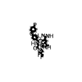 CC(NC(=O)[C@@H]1C[C@](F)(CF)CN1C(=O)CNC(=O)c1ccc(Oc2ccc(F)cc2)cc1)c1cc(C(=N)N)cs1